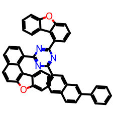 c1ccc(-c2ccc3ccc(-c4nc(-c5cccc6oc7ccccc7c56)nc(-c5cccc6ccc7oc8ccccc8c7c56)n4)cc3c2)cc1